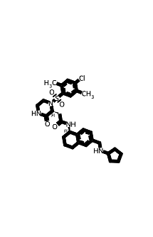 Cc1cc(S(=O)(=O)N2CCNC(=O)[C@H]2CC(=O)N[C@@H]2CCCc3cc(CNC4CCCC4)ccc32)c(C)cc1Cl